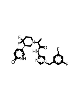 CC(C(=O)Nc1cn(Cc2cc(F)cc(F)c2)cn1)N1CCC(F)(F)[C@@H](c2ccc(=O)[nH]c2)C1